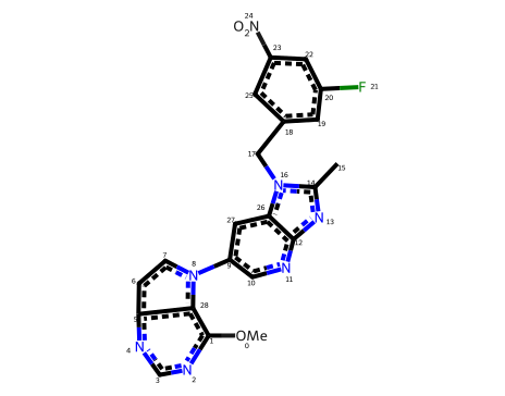 COc1ncnc2ccn(-c3cnc4nc(C)n(Cc5cc(F)cc([N+](=O)[O-])c5)c4c3)c12